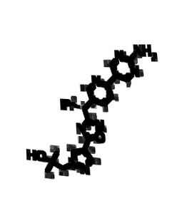 CC(C)[C@H](c1ccc(-c2cnc(N)nc2)nc1)c1noc(-c2cnn(CC(C)(C)O)c2)n1